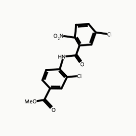 COC(=O)c1ccc(NC(=O)c2cc(Cl)ccc2[N+](=O)[O-])c(Cl)c1